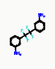 Nc1cccc(C(F)(F)C(F)(F)c2cccc(N)c2)c1